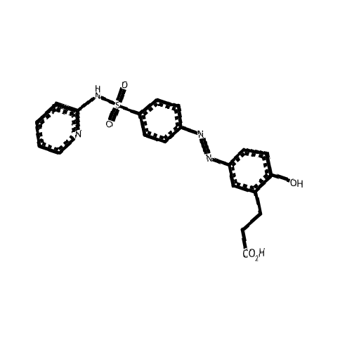 O=C(O)CCc1cc(N=Nc2ccc(S(=O)(=O)Nc3ccccn3)cc2)ccc1O